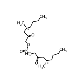 CCCC[C@H](C)CC(=O)CO[PH](=O)OCC(=O)C[C@@H](C)CCCC